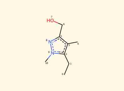 CCc1c(C)c(CO)nn1C